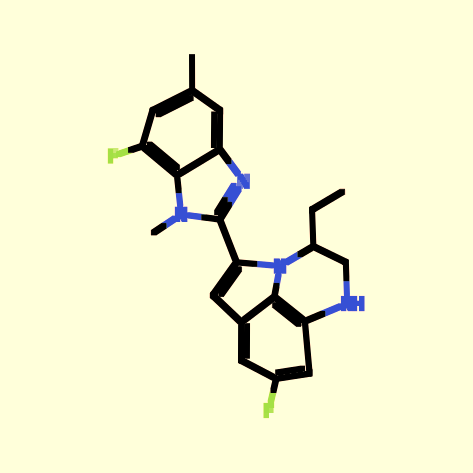 CCC1CNc2cc(F)cc3cc(-c4nc5cc(C)cc(F)c5n4C)n1c23